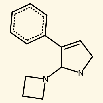 C1=C(c2ccccc2)C(N2CCC2)[N]C1